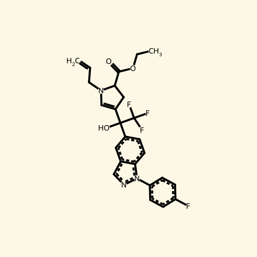 C=CCN1C=C(C(O)(c2ccc3c(cnn3-c3ccc(F)cc3)c2)C(F)(F)F)CC1C(=O)OCC